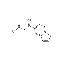 C=C(CNC)c1ccc2sccc2c1